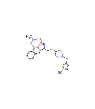 CN(C)Cc1c2ccccc2cc2c(CCC3CCN(Cc4ccc(C#N)s4)CC3)noc12